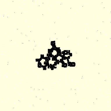 CN1C(=O)C(C)(CC=O)c2nc(Cl)nc(N3CCOCC3)c21